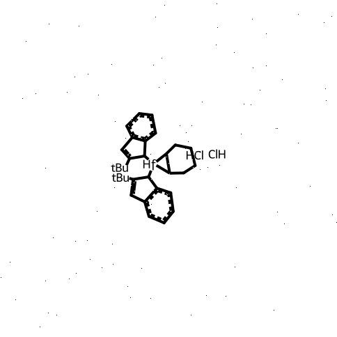 CC(C)(C)C1=Cc2ccccc2[CH]1[Hf]1([CH]2C(C(C)(C)C)=Cc3ccccc32)[CH]2CCCC[CH]21.Cl.Cl